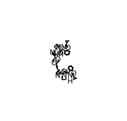 O=C(N[C@H](C(=O)N1CCC[C@@H]1c1ncc(C#CC2COC(c3cnc([C@H]4CCCN4C(=O)[C@@H](NC(=O)C4CC4)c4ccccc4)[nH]3)CO2)[nH]1)c1ccccc1)C1CC1